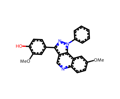 COc1ccc2ncc3c(-c4ccc(O)c(OC)c4)nn(-c4ccccc4)c3c2c1